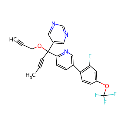 C#CCOC(C#CC)(c1cncnc1)c1ccc(-c2ccc(OC(F)(F)F)cc2F)cn1